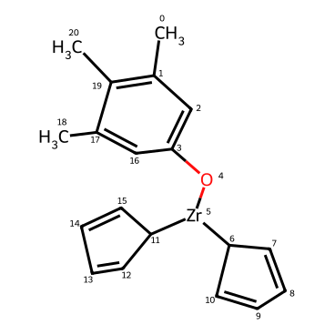 Cc1cc([O][Zr]([CH]2C=CC=C2)[CH]2C=CC=C2)cc(C)c1C